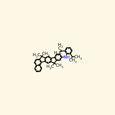 CC(C)c1cccc(C(C)C)c1Nc1ccc2c(c1)C(C)(C)c1cc3c(cc1-2)C(C)(C)c1ccc2ccccc2c1-3